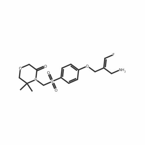 CC1(C)COCC(=O)N1CS(=O)(=O)c1ccc(OCC(=CF)CN)cc1